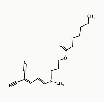 CCCCCCC(=O)OCCCN(C)/C=C/C=C(C#N)C#N